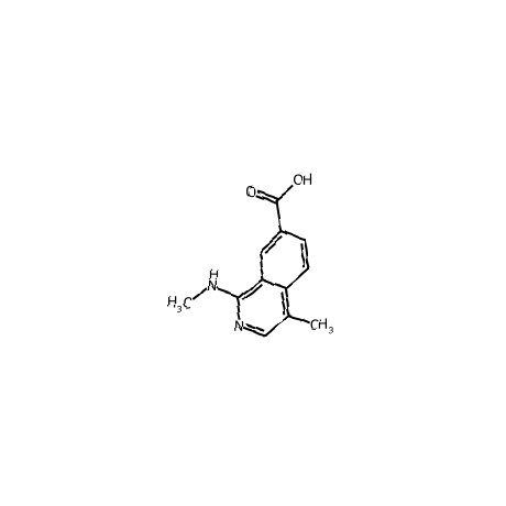 CNc1ncc(C)c2ccc(C(=O)O)cc12